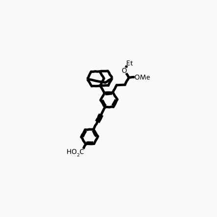 CCOC(CCc1ccc(C#Cc2ccc(C(=O)O)cc2)cc1C12CC3CC(CC(C3)C1)C2)OC